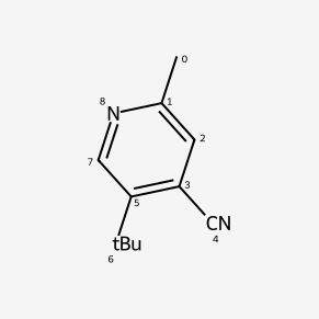 Cc1cc(C#N)c(C(C)(C)C)cn1